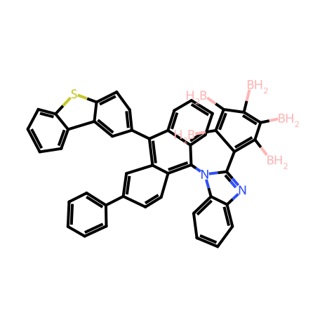 Bc1c(B)c(B)c(-c2nc3ccccc3n2-c2c3ccccc3c(-c3ccc4sc5ccccc5c4c3)c3cc(-c4ccccc4)ccc23)c(B)c1B